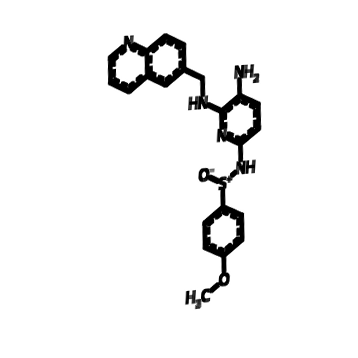 COc1ccc([S+]([O-])Nc2ccc(N)c(NCc3ccc4ncccc4c3)n2)cc1